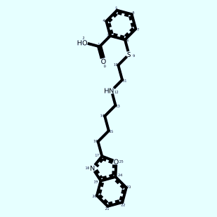 O=C(O)c1ccccc1SCCNCCCCc1nc2ccccc2o1